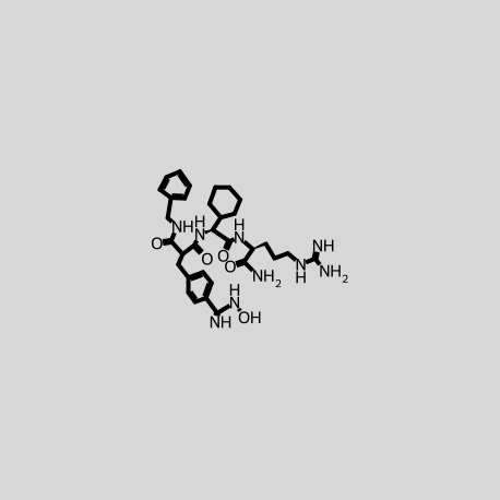 N=C(N)NCCC[C@H](NC(=O)[C@@H](NC(=O)C(Cc1ccc(C(=N)NO)cc1)C(=O)NCc1ccccc1)C1CCCCC1)C(N)=O